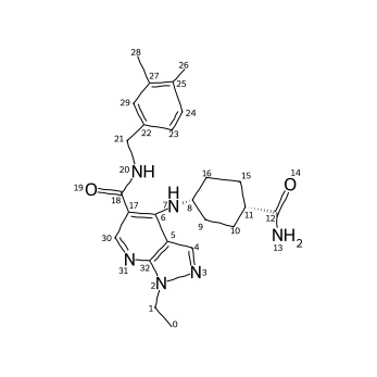 CCn1ncc2c(N[C@H]3CC[C@@H](C(N)=O)CC3)c(C(=O)NCc3ccc(C)c(C)c3)cnc21